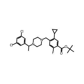 CC(c1cc(Cl)cc(Cl)c1)N1CCN(Cc2cc(F)c(C(=O)OC(C)(C)C)cc2C2CC2)CC1